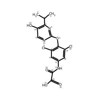 CC(C)c1nc(Oc2c(Cl)cc(NC(=O)C(=O)O)cc2Cl)ncc1O